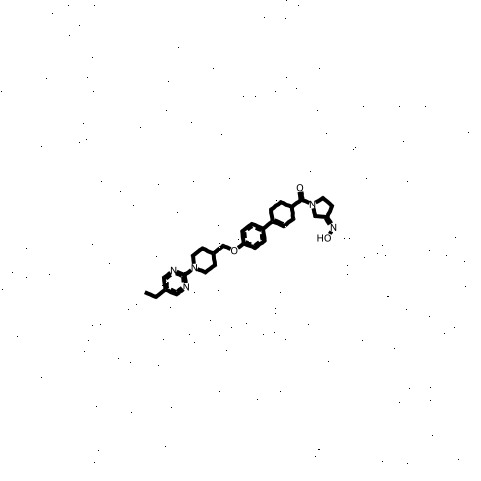 CCc1cnc(N2CCC(COc3ccc(C4=CCC(C(=O)N5CCC(=NO)C5)CC4)cc3)CC2)nc1